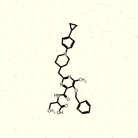 CCC(NC(=O)c1nc(CC2CCN(c3ccc(C4CC4)cc3)CC2)nc(C)c1OCc1ccccc1)C(=O)O